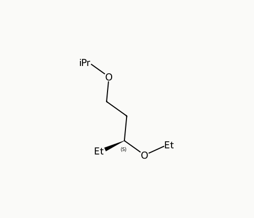 CCO[C@@H](CC)CCOC(C)C